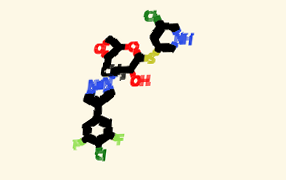 CC1OCC1OC(SC1=CNCC(Cl)=C1)[C@@H](O)Cn1cc(-c2cc(F)c(Cl)c(F)c2)cn1